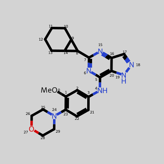 COc1cc(Nc2nc(C3C4CCCCC43)nc3cn[nH]c23)ccc1N1CCOCC1